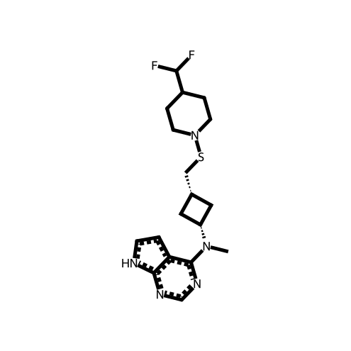 CN(c1ncnc2[nH]ccc12)[C@H]1C[C@@H](CSN2CCC(C(F)F)CC2)C1